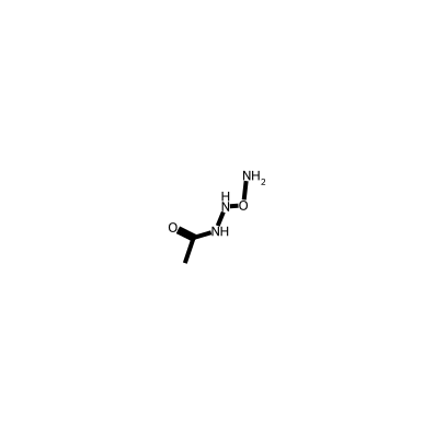 CC(=O)NNON